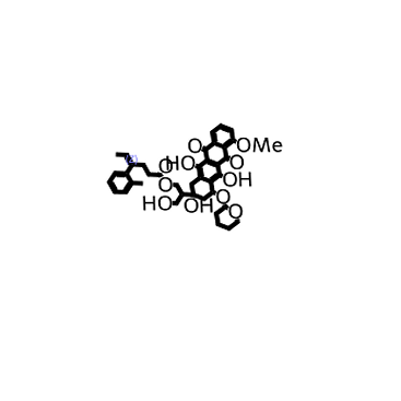 C/C=C(/CCC(=O)OCC(CO)C1(O)Cc2c(O)c3c(c(O)c2C(OC2CCCCO2)C1)C(=O)c1c(OC)cccc1C3=O)c1ccccc1C